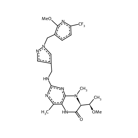 COc1nc(C(F)(F)F)ccc1Cn1cc(CNc2nc(C)c3c(n2)N(C)[C@@H]([C@@H](C)OC)C(=O)N3)cn1